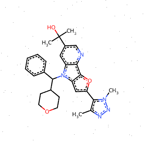 Cc1nnn(C)c1-c1cc2c(o1)c1ncc(C(C)(C)O)cc1n2C(c1ccccc1)C1CCOCC1